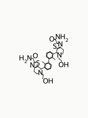 Cc1c(-c2cccc(C3c4sc(C(N)=O)nc4CCN3CCO)c2C)cccc1C1c2sc(C(N)=O)nc2CCN1CCO